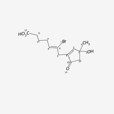 CC1(O)C=C(C/C(Br)=C/CCCC(=O)O)C(=O)C1